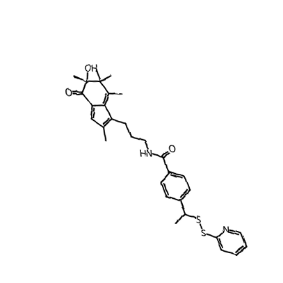 CC1=C(CCCNC(=O)c2ccc(C(C)SSc3ccccn3)cc2)C2=C(C)C(C)(C)[C@@](C)(O)C(=O)C2=C1